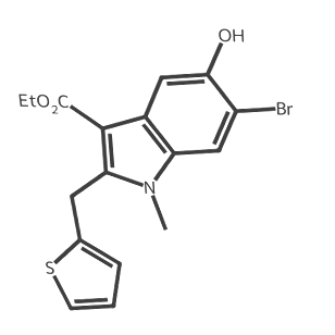 CCOC(=O)c1c(Cc2cccs2)n(C)c2cc(Br)c(O)cc12